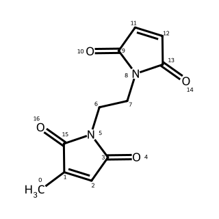 CC1=CC(=O)N(CCN2C(=O)C=CC2=O)C1=O